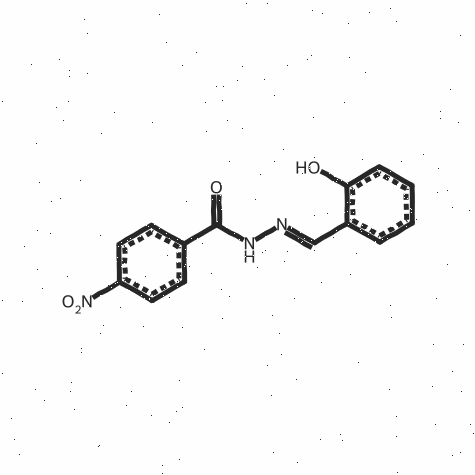 O=C(N/N=C/c1ccccc1O)c1ccc([N+](=O)[O-])cc1